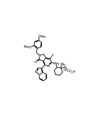 COc1ccc(CN2Cc3c(F)c(NC4CCCCC4(NC(=O)O)C(C)(C)C)nc(-c4cnn5ccccc45)c3C2=O)c(OC)c1